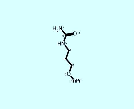 CCCOCCCNC(N)=O